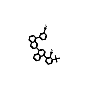 CC(C)(C)c1cccc(-c2ccc(-c3ccc4cccc(-c5cccc(C#N)c5)c4c3)c3ccccc23)c1C#N